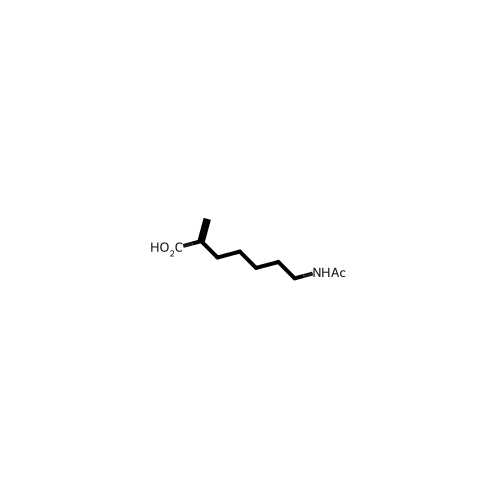 C=C(CCCCCNC(C)=O)C(=O)O